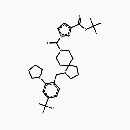 CC(C)(C)OC(=O)c1ccn(C(=O)N2CCC3(CCCN3Cc3ccc(C(F)(F)F)cc3N3CCCC3)CC2)n1